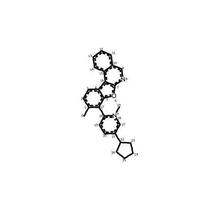 Cc1ccc2c(oc3ncc4ccccc4c32)c1-c1ccc(C2CCCC2)c[n+]1C